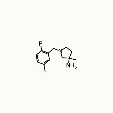 Cc1ccc(F)c(CN2CCC(C)(N)C2)c1